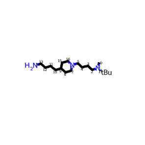 CN(CCCCN1CCC(CCCCN)CC1)C(C)(C)C